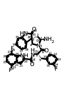 N[C@@H]1C[C@@]2(CN1C(=O)[C@H](Cc1cccc(F)c1)NC(=O)c1cc3c(F)ccc(F)c3[nH]1)C(=O)Nc1ccccc12